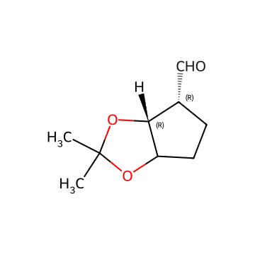 CC1(C)OC2CC[C@@H](C=O)[C@H]2O1